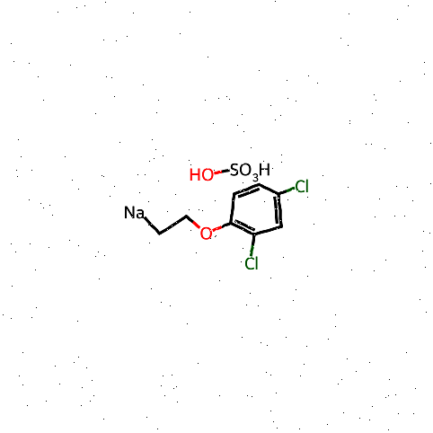 O=S(=O)(O)O.[Na][CH2]COc1ccc(Cl)cc1Cl